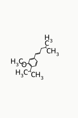 COc1cc(/C=C/CC(C)C)ccc1C(C)C